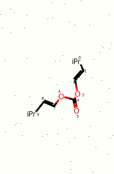 CC(C)C=COC(=O)OC=CC(C)C